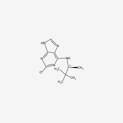 C[C@H](Nc1nc(Cl)nc2[nH]cnc12)C(C)(C)C